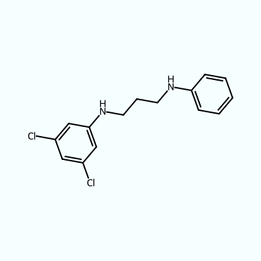 Clc1cc(Cl)cc(NCCCNc2ccccc2)c1